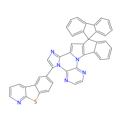 c1ccc2c(c1)-c1ccccc1C21c2ccccc2-c2c1cc1c3ncc(-c4ccc5sc6ncccc6c5c4)n3c3nccnc3n21